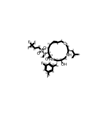 CC(C)C[C@@H]1COC/C=C/CC[C@H](N(C)S(=O)(=O)CCC(F)(F)F)C(=O)N[C@@H](Cc2cc(F)cc(F)c2)[C@H](O)CN1